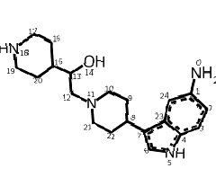 Nc1ccc2[nH]cc(C3CCN(CC(O)C4CCNCC4)CC3)c2c1